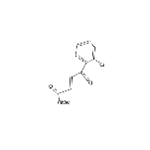 COC(=O)/C=C/C(=O)c1ccccc1Cl